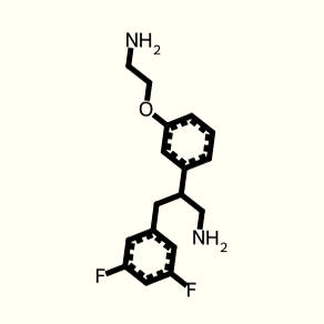 NCCOc1cccc(C(CN)Cc2cc(F)cc(F)c2)c1